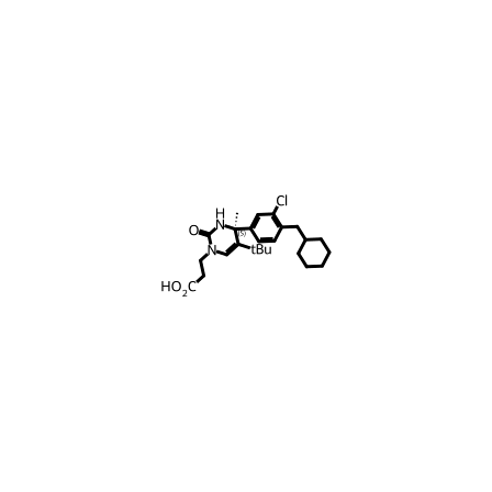 CC(C)(C)C1=CN(CCC(=O)O)C(=O)N[C@@]1(C)c1ccc(CC2CCCCC2)c(Cl)c1